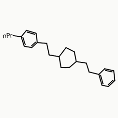 CCCc1ccc(CCC2CCC(CCc3ccccc3)CC2)cc1